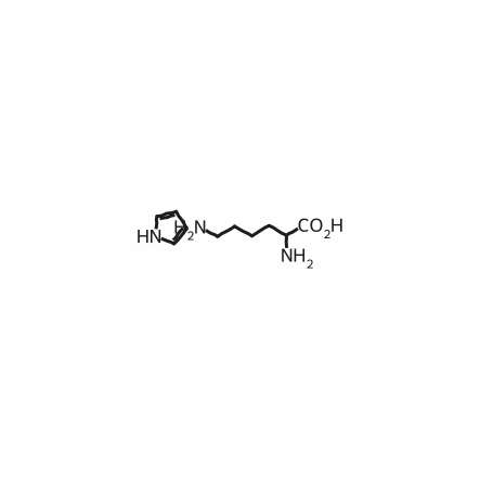 NCCCCC(N)C(=O)O.c1cc[nH]c1